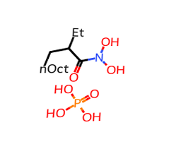 CCCCCCCCCC(CC)C(=O)N(O)O.O=P(O)(O)O